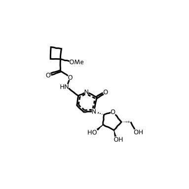 COC1(C(=O)ONc2ccn([C@@H]3O[C@H](CO)[C@@H](O)[C@H]3O)c(=O)n2)CCC1